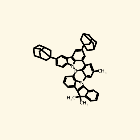 Cc1cc2c3c(c1)-n1c4c(c5cccc(c51)B3n1c3ccc(C56CC7CC(CC(C7)C5)C6)cc3c3cc(C56CC7CC(CC(C7)C5)C6)cc-2c31)C(C)(C)c1ccccc1-4